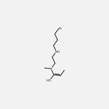 C/C=C(/O)N(C)CCNCCCC(C)C